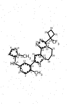 Cc1cnc(Nc2ccnn2C)cc1-c1cc2n(n1)CCCn1c-2nnc1C1(C(F)(F)F)CCC1